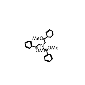 CO[C@@H](CN(C[C@H](OC)c1ccccc1)C[C@H](OC)C1C=CC=CC1)c1ccccc1